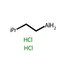 CC(C)C[CH2][AlH2].Cl.Cl